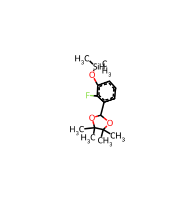 C[SiH](C)Oc1cccc(C2OC(C)(C)C(C)(C)O2)c1F